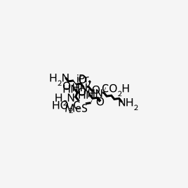 CSCC[C@H](NC(=O)[C@H](CC(C)C)NC(=O)[C@H](CC(N)=O)NC(=O)[C@@H](N)CC(=O)O)C(=O)N[C@@H](CCCCN)C(=O)O